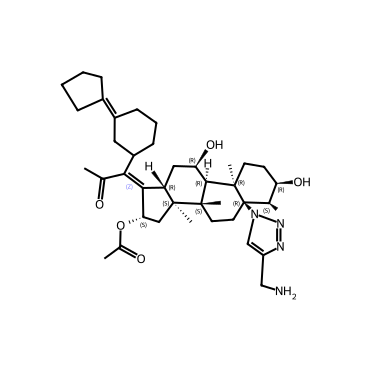 CC(=O)O[C@H]1C[C@@]2(C)[C@@H](C[C@@H](O)[C@@H]3[C@]2(C)CC[C@@]2(n4cc(CN)nn4)[C@H](C)[C@H](O)CC[C@]32C)/C1=C(/C(C)=O)C1CCCC(=C2CCCC2)C1